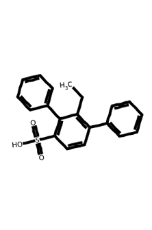 CCc1c(-c2ccccc2)ccc(S(=O)(=O)O)c1-c1ccccc1